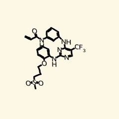 C=CC(=O)Nc1cccc(Nc2nc(Nc3ccccc3OCCCS(C)(=O)=O)ncc2C(F)(F)F)c1